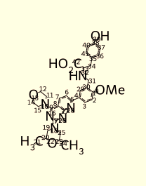 COc1ccc(-c2ccc3c(N4CCOCC4)nc(N4CC(C)OC(C)C4)nc3n2)cc1CNC(Cc1ccc(O)cc1)C(=O)O